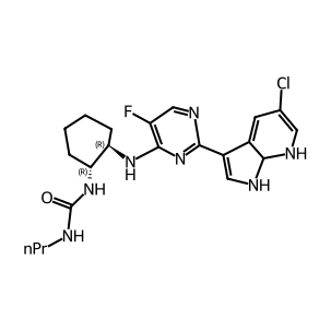 CCCNC(=O)N[C@@H]1CCCC[C@H]1Nc1nc(C2=CNC3NC=C(Cl)C=C23)ncc1F